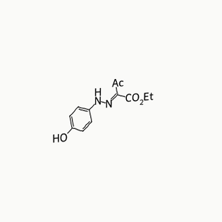 CCOC(=O)/C(=N/Nc1ccc(O)cc1)C(C)=O